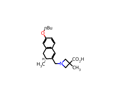 CCCCOc1ccc2c(c1)C[C@@H](C)C(CN1CC(C)(C(=O)O)C1)=C2